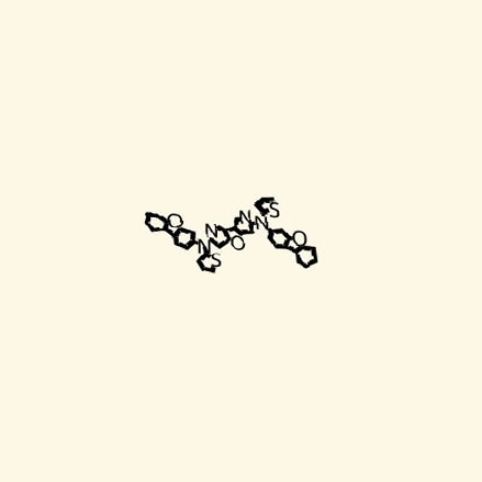 c1csc(N(c2ccc3c(c2)oc2ccccc23)c2cc3oc4cc(N(c5ccc6c(c5)oc5ccccc56)c5cccs5)ncc4c3cn2)c1